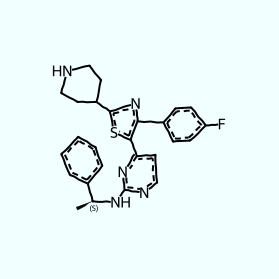 C[C@H](Nc1nccc(-c2sc(C3CCNCC3)nc2-c2ccc(F)cc2)n1)c1ccccc1